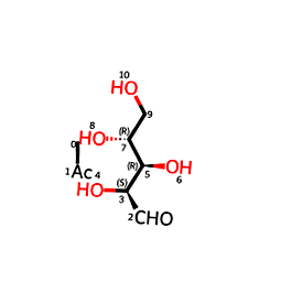 CC(C)=O.O=C[C@@H](O)[C@H](O)[C@H](O)CO